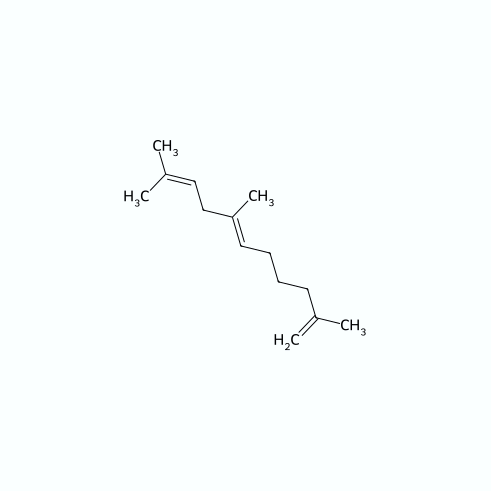 C=C(C)CCC/C=C(\C)CC=C(C)C